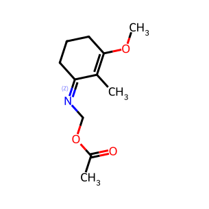 COC1=C(C)/C(=N\COC(C)=O)CCC1